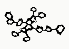 c1ccc(-c2ccc(-c3ccc(-c4cc5c(-c6ccccc6)c(-c6ccccc6)oc5c5c(-c6ccc(-c7cccc8ccccc78)cc6)cc6c(-c7ccccc7)c(-c7ccccc7)oc6c45)cc3)cc2)cc1